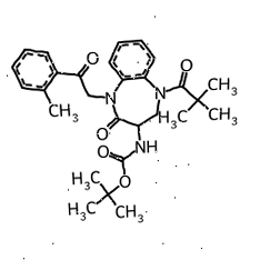 Cc1ccccc1C(=O)CN1C(=O)C(NC(=O)OC(C)(C)C)CN(C(=O)C(C)(C)C)c2ccccc21